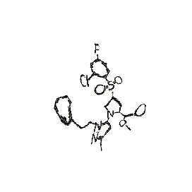 COC(=O)[C@@H]1C[C@@H](S(=O)(=O)c2ccc(F)cc2Cl)CN1c1cc(C)nn1CCc1ccccc1